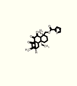 C=C1C(=O)C23CC[C@@H](CC2[C@]2(CC)CCC[C@@](C)(COC(=O)c4cccs4)C12)C(=C)C3=O